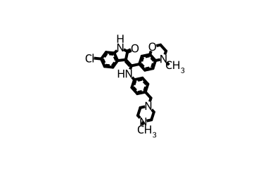 CN1CCN(Cc2ccc(NC(=C3C(=O)Nc4cc(Cl)ccc43)c3ccc4c(c3)OCCN4C)cc2)CC1